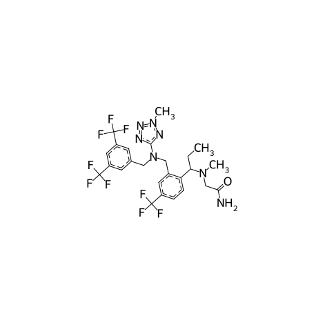 CCC(c1ccc(C(F)(F)F)cc1CN(Cc1cc(C(F)(F)F)cc(C(F)(F)F)c1)c1nnn(C)n1)N(C)CC(N)=O